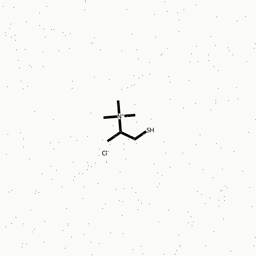 CC(CS)[N+](C)(C)C.[Cl-]